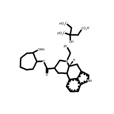 COC1CCCCCC1OC(=O)C1CC2c3cccc4[nH]cc(c34)C[C@H]2N(CC(C)C)C1.O=C(O)CC(O)(CC(=O)O)C(=O)O